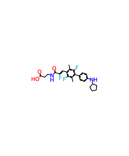 Cc1c(F)c(-c2ccc(NC3CCCC3)cc2)c(C)c(F)c1/C=C(\F)C(=O)NCCC(=O)O